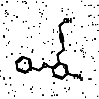 OCC#CCCc1cc(P)ccc1OCc1ccccc1